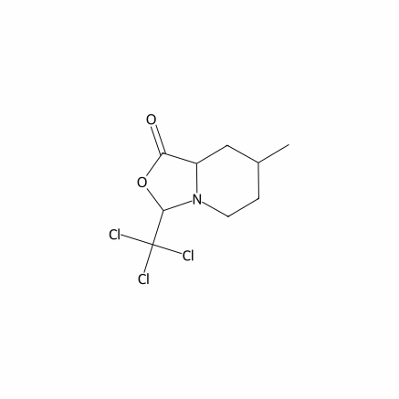 CC1CCN2C(C1)C(=O)OC2C(Cl)(Cl)Cl